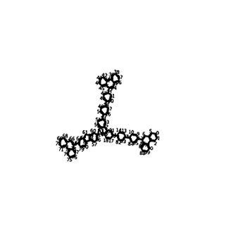 c1ccc2c(c1)cc(-c1ccc(-c3ccc(-c4ccc5c(c4)c4cc(-c6ccc(-c7ccc(-c8cc9ccccc9c9ccccc89)cc7)cc6)ccc4n5-c4ccc5c(c4)Cc4cc(-c6cc7ccccc7c7ccccc67)ccc4-5)cc3)cc1)c1ccccc12